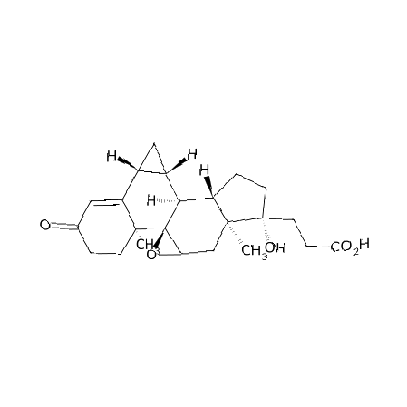 C[C@]12CCC(=O)C=C1[C@@H]1C[C@@H]1[C@H]1[C@@H]3CC[C@@](O)(CCC(=O)O)[C@@]3(C)CC3O[C@]312